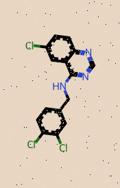 Clc1ccc2ncnc(NCc3ccc(Cl)c(Cl)c3)c2c1